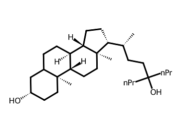 CCCC(O)(CCC)CC[C@@H](C)[C@H]1CC[C@H]2[C@@H]3CCC4C[C@@H](O)CC[C@]4(C)[C@H]3CC[C@]12C